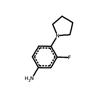 Nc1ccc(N2CCCC2)c(F)c1